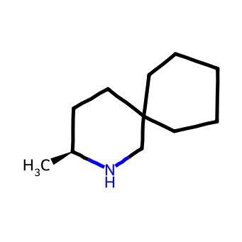 C[C@H]1CCC2(CCCCC2)CN1